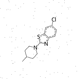 CC1CCN(c2nc3ccc(Cl)cc3s2)CC1